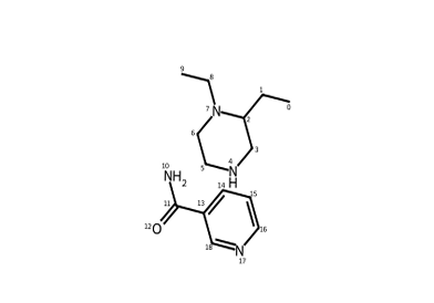 CCC1CNCCN1CC.NC(=O)c1cccnc1